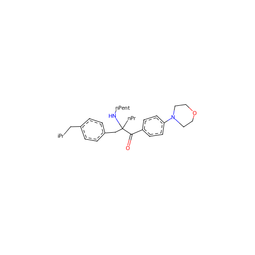 CCCCCNC(CCC)(Cc1ccc(CC(C)C)cc1)C(=O)c1ccc(N2CCOCC2)cc1